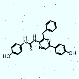 Oc1ccc(NC(=S)Nc2ncc(-c3ccc(O)cc3)nc2Cc2ccccc2)cc1